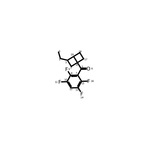 CCC1CC2(C(=O)c3c(F)c(F)cc(F)c3F)CCC12